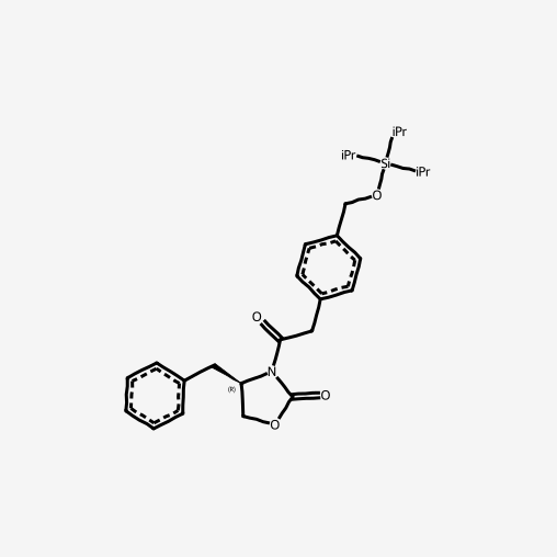 CC(C)[Si](OCc1ccc(CC(=O)N2C(=O)OC[C@H]2Cc2ccccc2)cc1)(C(C)C)C(C)C